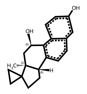 C[C@]12C[C@@H](O)c3c(ccc4cc(O)ccc34)[C@@H]1CCC21CC1